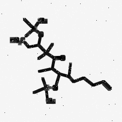 C=CCCCC(C)C(O[Si](C)(C)C(C)(C)C)C(C)C(=O)C(C)(C)C(CC(=O)O)O[Si](C)(C)C(C)(C)C